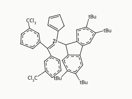 CC(C)(C)c1cc2c(cc1C(C)(C)C)[CH]([Zr]([C]1=CC=CC1)=[C](c1cccc(C(Cl)(Cl)Cl)c1)c1cccc(C(Cl)(Cl)Cl)c1)c1cc(C(C)(C)C)c(C(C)(C)C)cc1-2